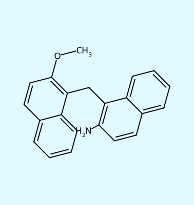 COc1ccc2ccccc2c1Cc1c(N)ccc2ccccc12